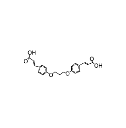 O=C(O)C=Cc1ccc(OCCCOc2ccc(C=CC(=O)O)cc2)cc1